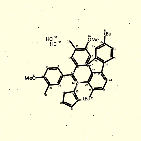 COc1ccc([C](c2ccc(OC)c(C)c2)=[Zr]([C]2=CC=CC2)[c]2c(C(C)(C)C)ccc3c2Cc2cc(C(C)(C)C)ccc2-3)cc1C.Cl.Cl